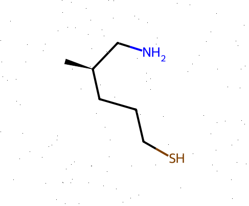 C[C@@H](CN)CCCS